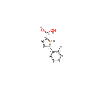 Cc1ccccc1-c1ccc(C(=O)O)s1